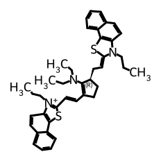 CCCN1C(=CC[C@H]2CCC(C=Cc3sc4c5ccccc5ccc4[n+]3CCC)=C2N(CC)CC)Sc2c1ccc1ccccc21